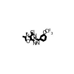 CC1COc2c(c(Cl)nn3c(-c4cccc(OC(F)(F)F)c4)nnc23)N1C